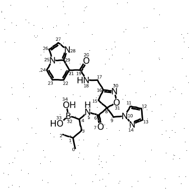 CC(C)CC(NC(=O)C1(Cn2cccn2)CC(CNC(=O)c2cccn3ccnc23)=NO1)B(O)O